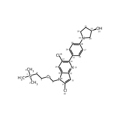 C[Si](C)(C)CCOCn1c(Cl)cc2nc(-c3ccc(N4CC[C@@H](O)C4)cc3)c(Cl)cc21